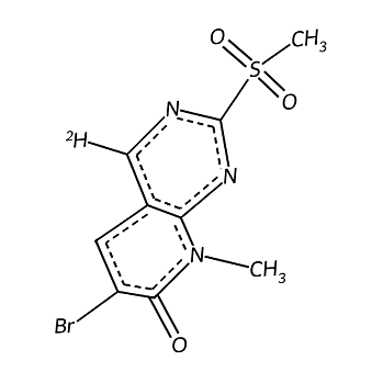 [2H]c1nc(S(C)(=O)=O)nc2c1cc(Br)c(=O)n2C